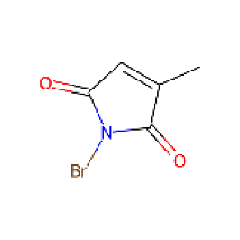 CC1=CC(=O)N(Br)C1=O